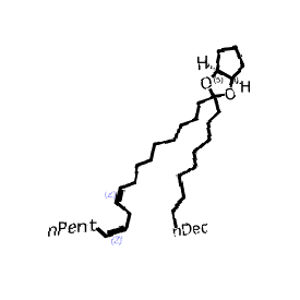 CCCCC/C=C\C/C=C\CCCCCCCCC1(CCCCCCCCCCCCCCCCCC)O[C@H]2CCC[C@H]2O1